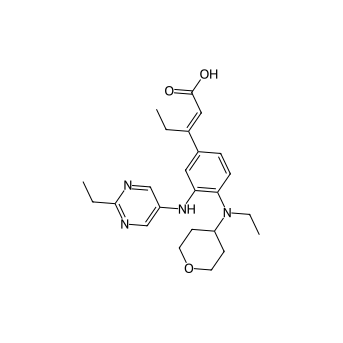 CC/C(=C\C(=O)O)c1ccc(N(CC)C2CCOCC2)c(Nc2cnc(CC)nc2)c1